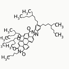 CCCCCN1C(=O)c2ccc3c4ccc5c6c(cc(OCC(CC)CCCC)c(c7c(OCC(CC)CCCC)cc(c2c37)C1=O)c46)c(=O)n1c2cc(CCCC(CC)CCCC)c(CCCC(CC)CCCC)cc2nc51